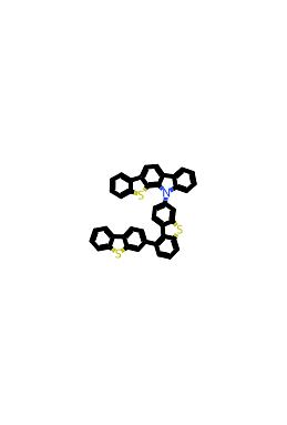 c1ccc2c(c1)sc1cc(-c3cccc4sc5cc(-n6c7ccccc7c7ccc8c9ccccc9sc8c76)ccc5c34)ccc12